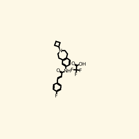 O=C(C=Cc1ccc(F)cc1)Nc1ccc2c(c1)CCN(C1CCC1)CC2.O=C(O)C(F)(F)F